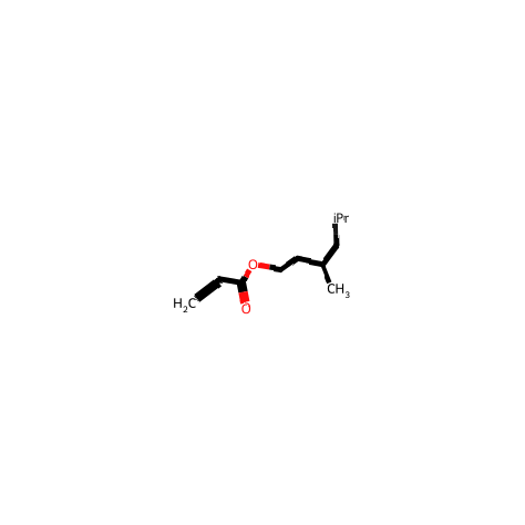 C=CC(=O)OCCC(C)CC(C)C